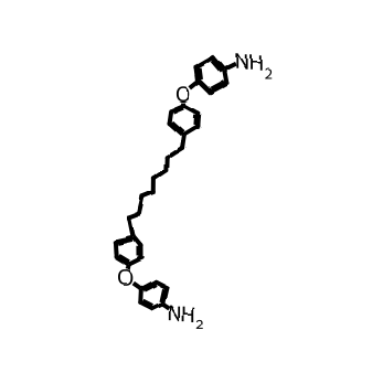 Nc1ccc(Oc2ccc(CCCCCCCCc3ccc(Oc4ccc(N)cc4)cc3)cc2)cc1